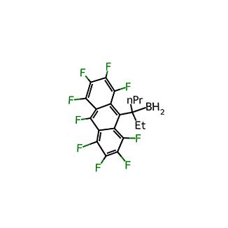 BC(CC)(CCC)c1c2c(F)c(F)c(F)c(F)c2c(F)c2c(F)c(F)c(F)c(F)c12